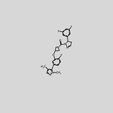 Cc1cnn(C)c1-c1ccc(F)c(OC2CN(C(=O)N3N=CCC3c3cc(F)cc(F)c3)C2)c1